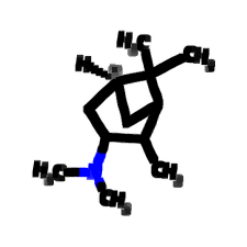 CC1C(N(C)C)C[C@@H]2CC1C2(C)C